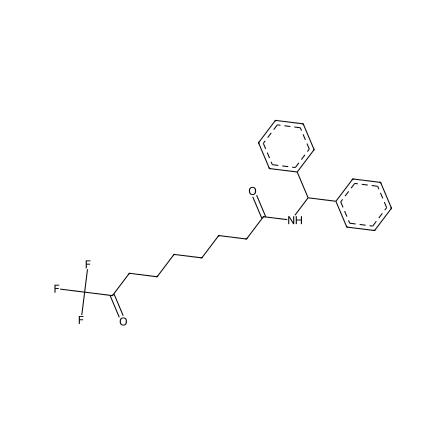 O=C(CCCCCCC(=O)C(F)(F)F)NC(c1ccccc1)c1ccccc1